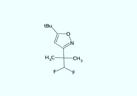 CC(C)(C)c1cc(C(C)(C)C(F)F)no1